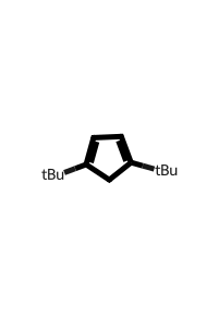 CC(C)(C)C1=CC=C(C(C)(C)C)C1